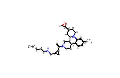 C=C(C1CC1CNCCCC=O)N1CCC(c2ccc(C(F)(F)F)cc2N2CCC(C3CO3)CC2)CC1